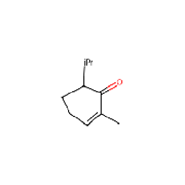 CC1=CCCC(C(C)C)C1=O